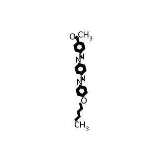 CCCCCCOc1ccc(N=Nc2ccc(N=Nc3ccc(C(C)=O)cc3)cc2)cc1